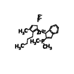 CCCCC1=[C]([Zr+2][CH]2C(P(C)C)=Cc3ccccc32)CC=C1C.[F-].[F-]